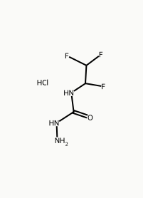 Cl.NNC(=O)NC(F)C(F)F